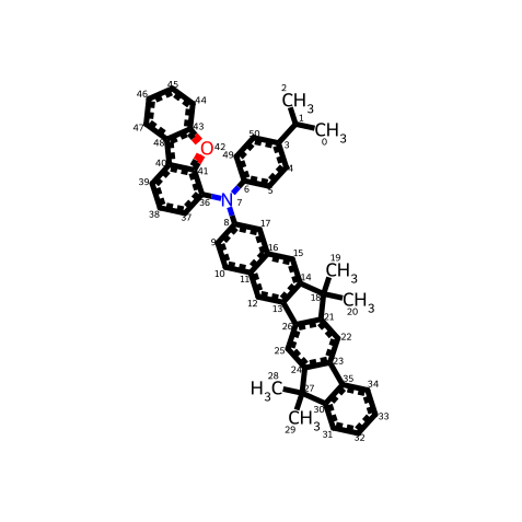 CC(C)c1ccc(N(c2ccc3cc4c(cc3c2)C(C)(C)c2cc3c(cc2-4)C(C)(C)c2ccccc2-3)c2cccc3c2oc2ccccc23)cc1